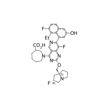 CCc1c(F)ccc2cc(O)cc(-c3ncc4c(N5CCCCC(C(=O)O)C5)nc(OC[C@@]56CCCN5C[C@H](F)C6)nc4c3F)c12